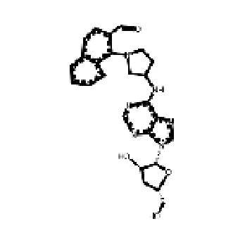 O=Cc1ccc2ccccc2c1N1CCC(Nc2ncnc3c2ncn3[C@@H]2O[C@H](CO)C[C@H]2O)C1